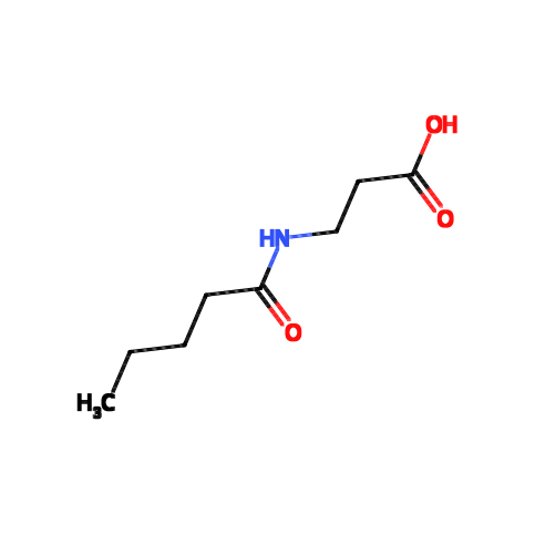 CCCCC(=O)NCCC(=O)O